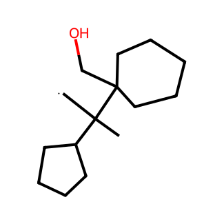 [CH2]C(C)(C1CCCC1)C1(CO)CCCCC1